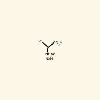 CC(=O)NC(C(=O)O)C(C)C.[NaH]